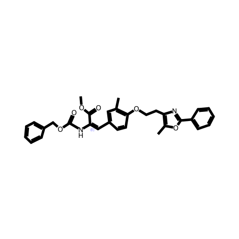 COC(=O)/C(=C\c1ccc(OCCc2nc(-c3ccccc3)oc2C)c(C)c1)NC(=O)OCc1ccccc1